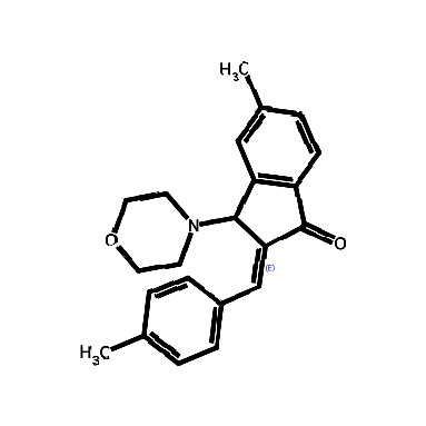 Cc1ccc(/C=C2/C(=O)c3ccc(C)cc3C2N2CCOCC2)cc1